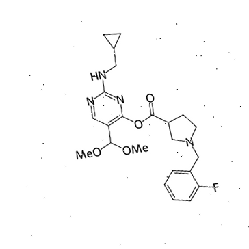 COC(OC)c1cnc(NCC2CC2)nc1OC(=O)C1CCN(Cc2ccccc2F)C1